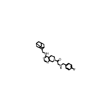 CN(CC(=O)N1CCc2c(ncnc2NCC2C3CC4CC(C3)CC2C4)C1)Cc1ccc(F)cc1